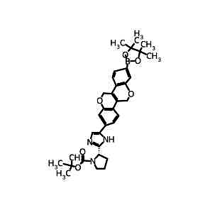 CC(C)(C)OC(=O)N1CCC[C@H]1c1ncc(-c2ccc3c(c2)OCC2=C3COc3cc(B4OC(C)(C)C(C)(C)O4)ccc32)[nH]1